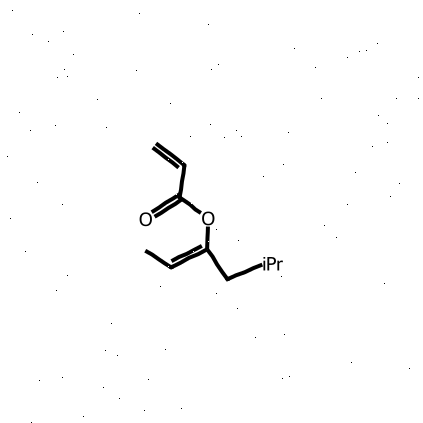 C=CC(=O)OC(=CC)CC(C)C